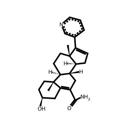 C[C@]12CC[C@H](O)CC1=C(C(N)=O)C[C@@H]1[C@@H]2CC[C@]2(C)C(c3cccnc3)=CC[C@@H]12